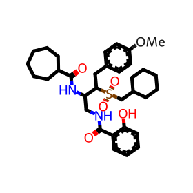 COc1ccc(CC(C(CNC(=O)c2ccccc2O)NC(=O)C2CCCCCC2)S(=O)(=O)CC2CCCCC2)cc1